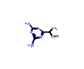 COC(C)c1nc(N)nc(N)n1